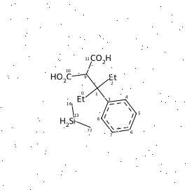 CCC(CC)(c1ccccc1)C(C(=O)O)C(=O)O.C[SiH2]C